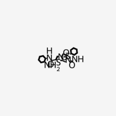 Nc1ccccc1NC(=O)c1cnc(CN2C(=O)Nc3ccccc3S2(=O)=O)s1